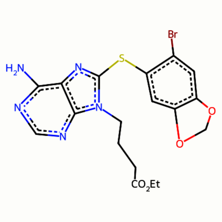 CCOC(=O)CCCn1c(Sc2cc3c(cc2Br)OCO3)nc2c(N)ncnc21